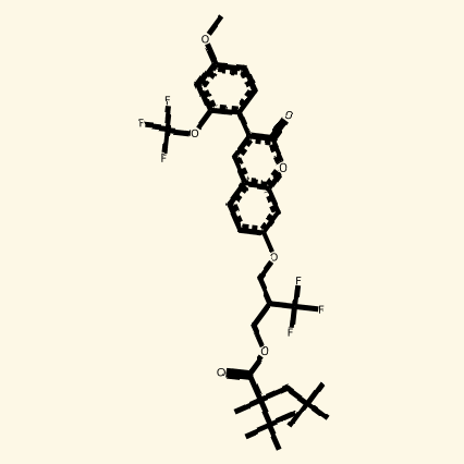 COc1ccc(-c2cc3ccc(OCC(COC(=O)C(C)(CC(C)(C)C)C(C)(C)C)C(F)(F)F)cc3oc2=O)c(OC(F)(F)F)c1